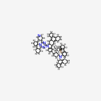 CC1(C)c2cc(N(c3cc4ccccc4c4ccccc34)c3cccc4c3sc3ccccc34)ccc2-c2ccc3c(c21)c1cc2c4ccccc4c4ccccc4c2cc1n3-c1nc(-c2ccncc2)nc(-c2ccccc2-c2ccccc2)n1